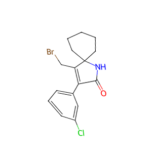 O=C1NC2(CCCCC2)C(CBr)=C1c1cccc(Cl)c1